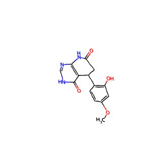 COc1ccc(C2CC(=O)Nc3nc[nH]c(=O)c32)c(O)c1